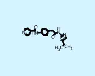 CC(C)c1cnc(NC(=O)Cc2ccc(NC(=O)c3ccncc3)cc2)s1